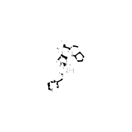 CCC1C(=O)N(C)c2cnc(NN=Cc3cccnc3)nc2N1C1CCCC1